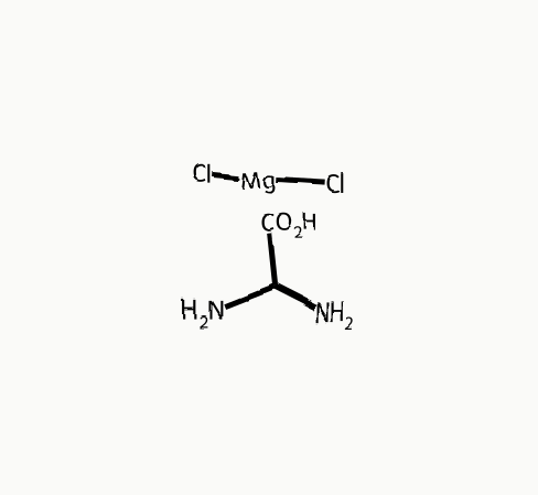 NC(N)C(=O)O.[Cl][Mg][Cl]